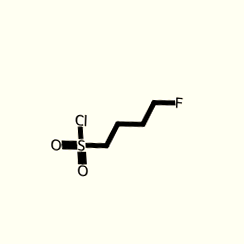 O=S(=O)(Cl)CCCCF